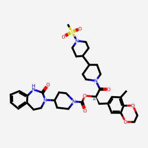 Cc1cc(C[C@@H](OC(=O)N2CCC(N3CCc4ccccc4NC3=O)CC2)C(=O)N2CCC(C3CCN(S(C)(=O)=O)CC3)CC2)cc2c1OCCO2